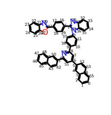 c1ccc2cc(-c3cc(-c4ccc(-n5c(-c6ccc(-c7nc8ccccc8o7)cc6)nc6ccccc65)cc4)nc(-c4ccc5ccccc5c4)c3)ccc2c1